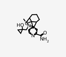 COC1(c2ccnc(C(N)=O)c2)C2CCCC1CN(CC1(O)CC1)C2